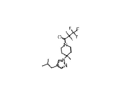 CC(C)Cc1cnn(C2(C)CCN(C(=O)C(C)(C)C(F)(F)F)CC2)c1